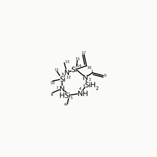 C=CN1[SiH2]N[SiH](C)N(C)[Si](C)(C)N(C)[Si]1(C)C=C